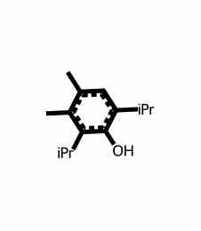 Cc1cc(C(C)C)c(O)c(C(C)C)c1C